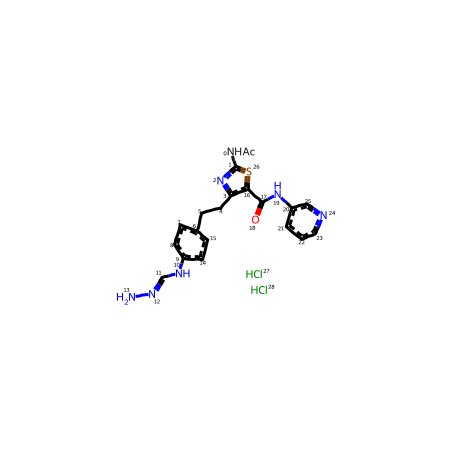 CC(=O)Nc1nc(CCc2ccc(NC=NN)cc2)c(C(=O)Nc2cccnc2)s1.Cl.Cl